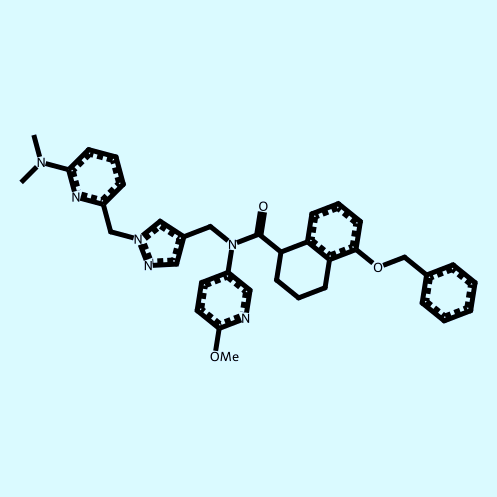 COc1ccc(N(Cc2cnn(Cc3cccc(N(C)C)n3)c2)C(=O)C2CCCc3c(OCc4ccccc4)cccc32)cn1